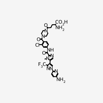 Cn1c(-c2cn(-c3ccc(N)cn3)nc2C(F)(F)F)cnc1C(=O)Nc1ccc(C(=O)N2CCN(C(=O)CC[C@H](N)C(=O)O)CC2)c(Cl)c1